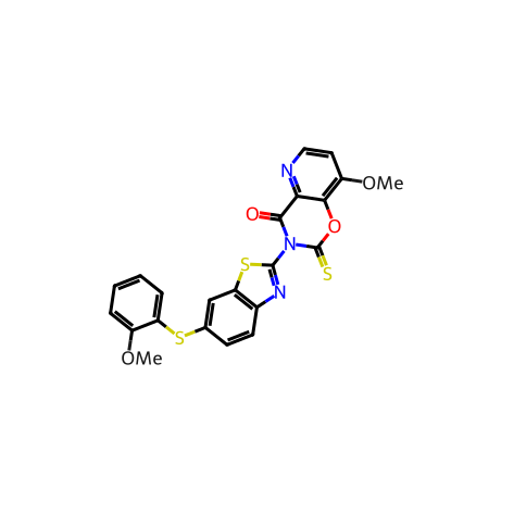 COc1ccccc1Sc1ccc2nc(-n3c(=S)oc4c(OC)ccnc4c3=O)sc2c1